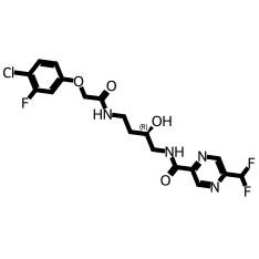 O=C(COc1ccc(Cl)c(F)c1)NCC[C@@H](O)CNC(=O)c1cnc(C(F)F)cn1